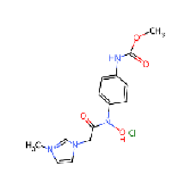 COC(=O)Nc1ccc(N(O)C(=O)Cn2cc[n+](C)c2)cc1.[Cl-]